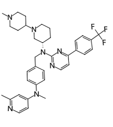 Cc1cc(N(C)c2ccc(CN(c3nccc(-c4ccc(C(F)(F)F)cc4)n3)[C@H]3CCCN(C4CCN(C)CC4)C3)cc2)ccn1